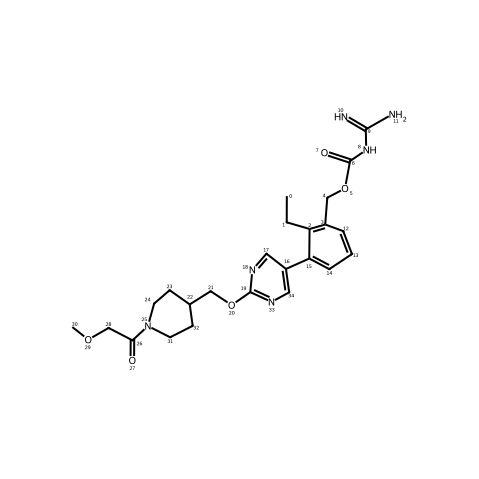 CCc1c(COC(=O)NC(=N)N)cccc1-c1cnc(OCC2CCN(C(=O)COC)CC2)nc1